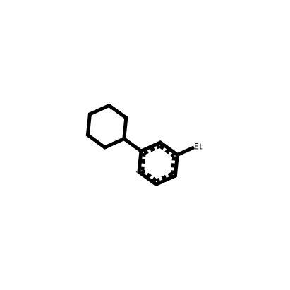 CCc1cc[c]c(C2CCCCC2)c1